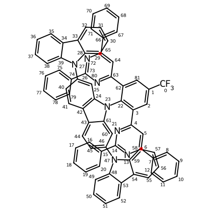 FC(F)(F)c1cc(-c2cc(-c3ccccc3)nc(-c3ccccc3)n2)c(-n2c3cc(-n4c5ccccc5c5ccccc54)ccc3c3ccc(-n4c5ccccc5c5ccccc54)cc32)c(-c2cc(-c3ccccc3)nc(-c3ccccc3)n2)c1